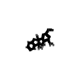 COc1cc(C)c2c(c1)[C@H]1Cc3ccccc3[C@@]1(C)N2